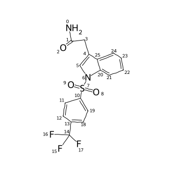 NC(=O)Cc1cn(S(=O)(=O)c2ccc(C(F)(F)F)cc2)c2ccccc12